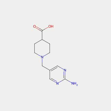 Nc1ncc(CN2CCC(C(=O)O)CC2)cn1